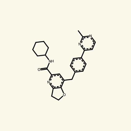 Cc1nccc(-c2ccc(Cc3cc(C(=O)NC4CCCCC4)nc4c3OCC4)cc2)n1